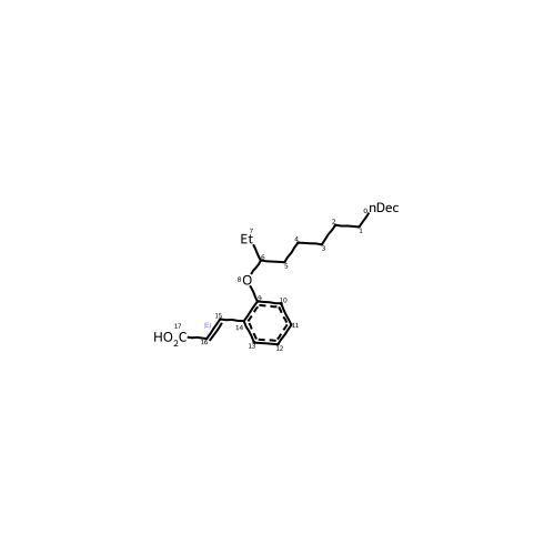 CCCCCCCCCCCCCCCC(CC)Oc1ccccc1/C=C/C(=O)O